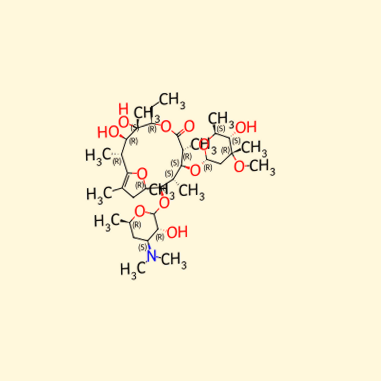 CC[C@H]1OC(=O)[C@H](C)[C@@H](O[C@H]2C[C@@](C)(OC)[C@@H](O)[C@H](C)O2)[C@H](C)[C@@H](OC2O[C@H](C)C[C@H](N(C)C)[C@H]2O)[C@@]2(C)CC(C)=C(O2)[C@H](C)[C@@H](O)[C@]1(C)O